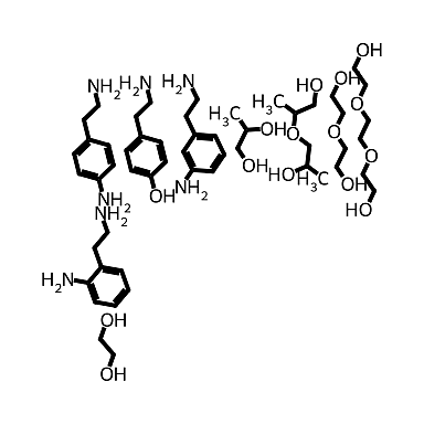 CC(O)CO.CC(O)COC(C)CO.NCCc1ccc(N)cc1.NCCc1ccc(O)cc1.NCCc1cccc(N)c1.NCCc1ccccc1N.OCCO.OCCOCCO.OCCOCCOCCO